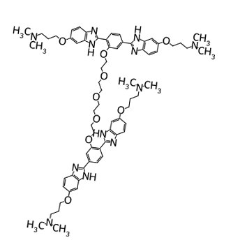 CN(C)CCCOc1ccc2nc(-c3ccc(-c4nc5ccc(OCCCN(C)C)cc5[nH]4)c(OCCOCCOCCOCCOc4cc(-c5nc6ccc(OCCCN(C)C)cc6[nH]5)ccc4-c4nc5ccc(OCCCN(C)C)cc5[nH]4)c3)[nH]c2c1